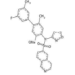 COc1cc(-c2cc(C)cc(F)c2)c(C)cc1N(c1ccon1)S(=O)(=O)c1ccc2cnccc2c1